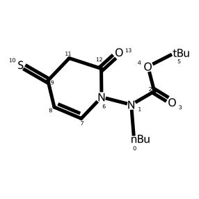 CCCCN(C(=O)OC(C)(C)C)N1C=CC(=S)CC1=O